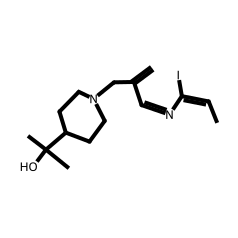 C=C(/C=N\C(I)=C/C)CN1CCC(C(C)(C)O)CC1